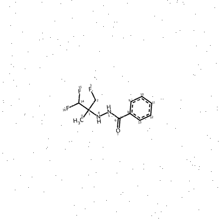 CC(CF)(NNC(=O)c1ccccc1)C(F)F